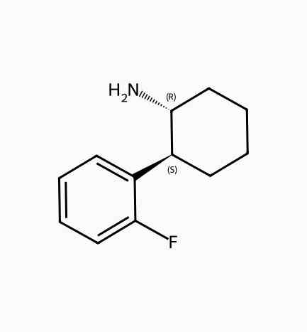 N[C@@H]1CCCC[C@H]1c1ccccc1F